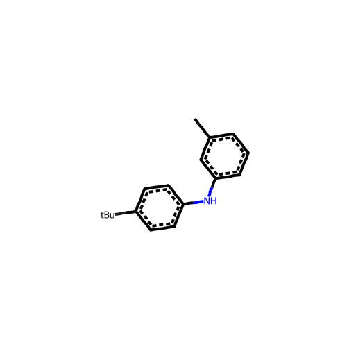 Cc1cccc(Nc2ccc(C(C)(C)C)cc2)c1